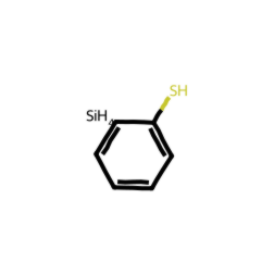 Sc1ccccc1.[SiH4]